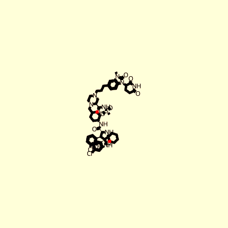 Cn1c(=O)n(C2CCC(=O)NC2=O)c2ccc(CCCN3CCN(CC4CCC(NC(=O)[C@@H]5NC6(CCCCC6)[C@@]6(C(=O)Nc7cc(Cl)ccc76)[C@H]5c5cccc(Cl)c5F)CC4)[C@H](C(=O)NS(C)(=O)=O)C3)cc21